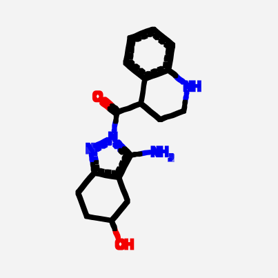 Nc1c2c(nn1C(=O)C1CCNc3ccccc31)CCC(O)C2